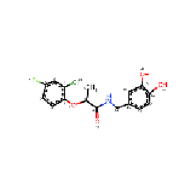 CC(Oc1ccc(F)cc1Cl)C(=O)NCc1ccc(O)c(O)c1